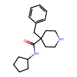 O=C(NC1CCCC1)C1(Cc2ccccc2)CCNCC1